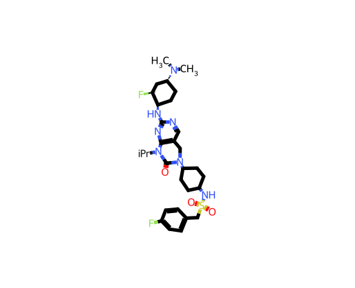 CC(C)N1C(=O)N(C2CCC(NS(=O)(=O)Cc3ccc(F)cc3)CC2)Cc2cnc(N[C@@H]3CC[C@@H](N(C)C)C[C@@H]3F)nc21